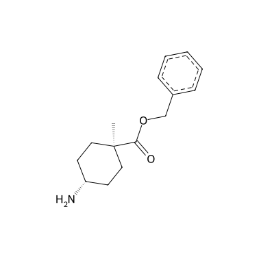 C[C@]1(C(=O)OCc2ccccc2)CC[C@H](N)CC1